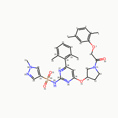 Cc1ccc(C)c(OCC(=O)N2CCC(Oc3cc(-c4c(C)cccc4C)nc(NS(=O)(=O)c4cnn(C)c4)n3)C2)c1